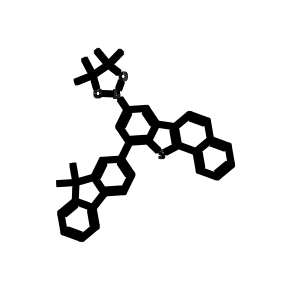 CC1(C)c2ccccc2-c2ccc(-c3cc(B4OC(C)(C)C(C)(C)O4)cc4c3sc3c5ccccc5ccc43)cc21